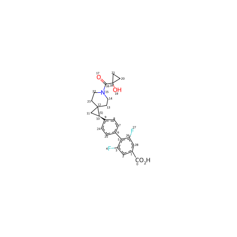 O=C(O)c1cc(F)c(-c2ccc([C@H]3CC34CCN(C(=O)C3(O)CC3)CC4)cc2)c(F)c1